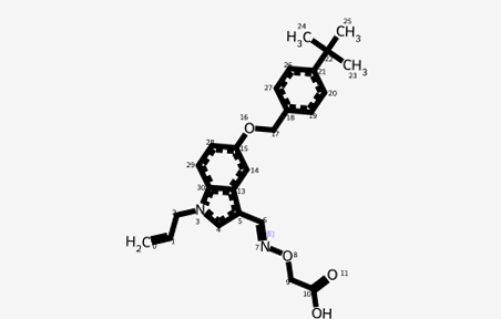 C=CCn1cc(/C=N/OCC(=O)O)c2cc(OCc3ccc(C(C)(C)C)cc3)ccc21